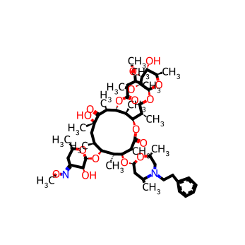 CO/N=C1\C[C@@H](C)O[C@@H](O[C@@H]2[C@@H](C)[C@H](O[C@H]3CC(C)N(CCc4ccccc4)C[C@H](C)O3)[C@@H](C)C(=O)O[C@H]([C@@H](C)CO[C@@H]3O[C@H](C)[C@@H](O)[C@@H](OC)[C@H]3OC)[C@H](C)[C@@H](OC(=O)CC(C)C)[C@@H](C)C(=O)[C@@](C)(O)C[C@@H]2C)[C@@H]1O